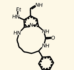 CCNc1c(C=N)cc2nc1NCCCCC(c1ccccc1)NC(=O)N2